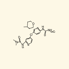 CC1CCOCC1.CN(C)C(=O)Nc1cc(Oc2ccc(NC(=O)NC=O)nc2)ccn1